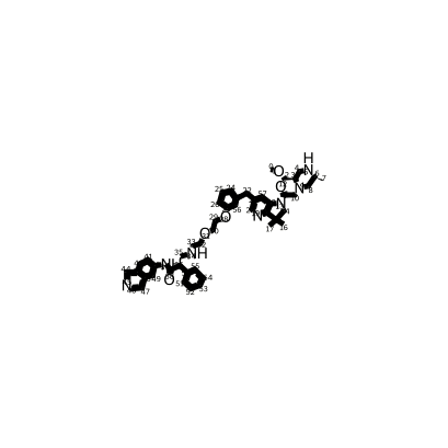 COC[C@H]1CN[C@H](C)CN1CC(=O)N1CC(C)(C)c2ncc(Cc3cccc(OCCOCCNC[C@@H](C(=O)Nc4ccc5cnccc5c4)c4ccccc4)c3)cc21